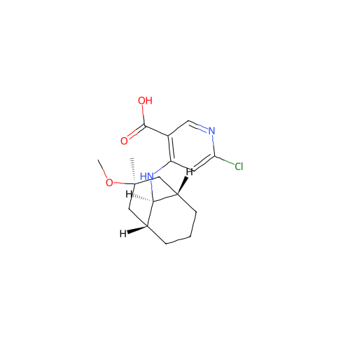 CO[C@]1(C)C[C@H]2CCC[C@@H](C1)[C@@H]2Nc1cc(Cl)ncc1C(=O)O